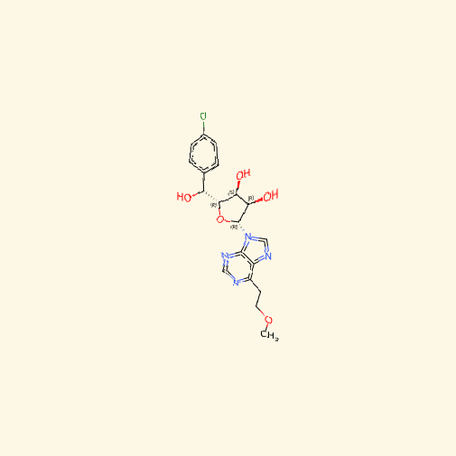 COCCc1ncnc2c1ncn2[C@@H]1O[C@H](C(O)c2ccc(Cl)cc2)[C@@H](O)[C@H]1O